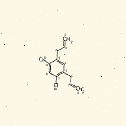 C=CCc1cc(CC=C)c(Cl)cc1Cl